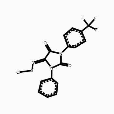 O=C1/C(=N/SCl)N(c2ccccc2)C(=O)N1c1ccc(C(F)(F)F)cc1